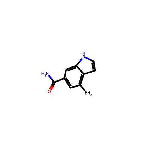 Bc1cc(C(N)=O)cc2[nH]ccc12